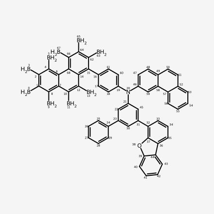 Bc1c(B)c(B)c2c(c1B)c(B)c(B)c1c(-c3ccc(N(c4cc(-c5ccccc5)cc(-c5cccc6c5oc5ccccc56)c4)c4ccc5ccc6ccccc6c5c4)cc3)c(B)c(B)c(B)c12